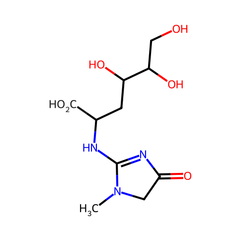 CN1CC(=O)N=C1NC(CC(O)C(O)CO)C(=O)O